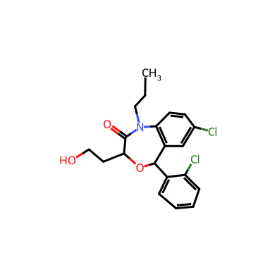 CCCN1C(=O)C(CCO)OC(c2ccccc2Cl)c2cc(Cl)ccc21